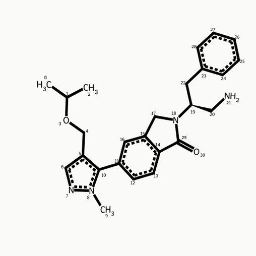 CC(C)OCc1cnn(C)c1-c1ccc2c(c1)CN([C@H](CN)Cc1ccccc1)C2=O